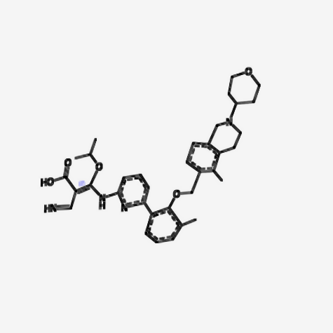 Cc1cccc(-c2cccc(N/C(OC(C)C)=C(\C=N)C(=O)O)n2)c1OCc1ccc2c(c1C)CCN(C1CCOCC1)C2